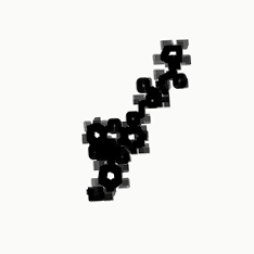 COc1cccc(Oc2c(NS(=O)(=O)c3ccc(C(C)(C)C)cc3)ncnc2OCCOC(=O)NCC(=O)N2CCCC2)c1